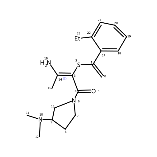 C=C(S/C(C(=O)N1CCC(N(C)C)C1)=C(/C)N)c1ccccc1CC